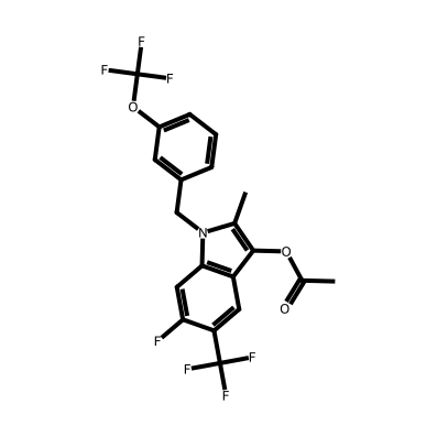 CC(=O)Oc1c(C)n(Cc2cccc(OC(F)(F)F)c2)c2cc(F)c(C(F)(F)F)cc12